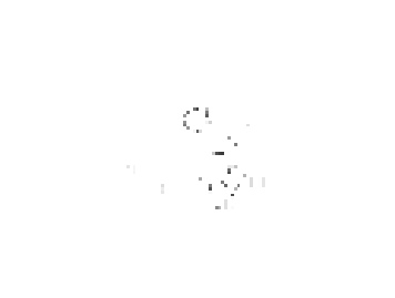 N#C[C@H]1C[C@@H](O)[C@H](Nc2ncnc3[nH]nc(C(=O)N4C[C@@H](F)C[C@@H]4c4cc(F)cc(F)c4F)c23)C1